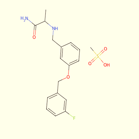 CC(NCc1cccc(OCc2cccc(F)c2)c1)C(N)=O.CS(=O)(=O)O